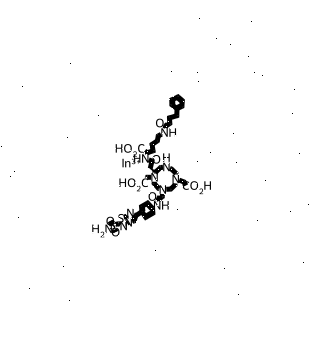 NS(=O)(=O)c1nn2cc(-c3ccc(NC(=O)CN4CCN(CC(=O)O)CCNC[C@H](CC(=O)NC(CCCCNC(=O)CCCc5ccccc5)C(=O)O)N(CC(=O)O)CC4)cc3)nc2s1.[In+3]